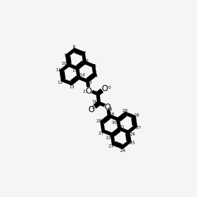 O=C(OC1=CCc2cccc3cccc1c23)C(=O)OC1=CCc2cccc3cccc1c23